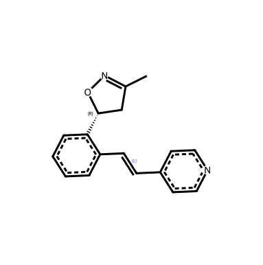 CC1=NO[C@@H](c2ccccc2/C=C/c2ccncc2)C1